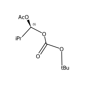 CC(=O)O[C@@H](OC(=O)OC(C)(C)C)C(C)C